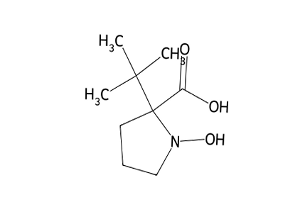 CC(C)(C)C1(C(=O)O)CCCN1O